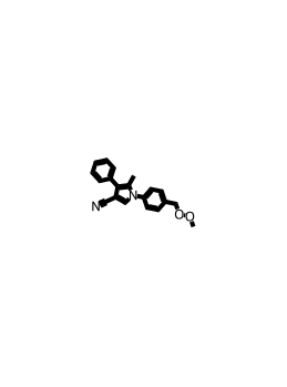 COOCc1ccc(-n2cc(C#N)c(-c3ccccc3)c2C)cc1